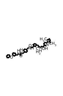 Cc1ccc(C)n1-c1ccc([C@H](O)CN[C@H](C)Cc2cccc(CC(=O)NCc3ccc(CNC(=O)NCc4cccc(Oc5ccccc5)c4)cc3)c2)cn1